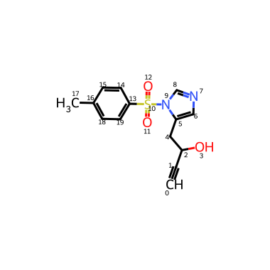 C#CC(O)Cc1cncn1S(=O)(=O)c1ccc(C)cc1